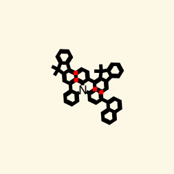 CC1(C)c2ccccc2-c2ccc(-c3ccccc3N(c3ccc(-c4cccc5ccccc45)cc3)c3ccccc3-c3cccc4c3C(C)(C)c3ccccc3-4)cc21